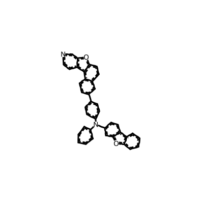 c1ccc(N(c2ccc(-c3ccc4c(ccc5oc6cnccc6c54)c3)cc2)c2ccc3c(c2)oc2ccccc23)cc1